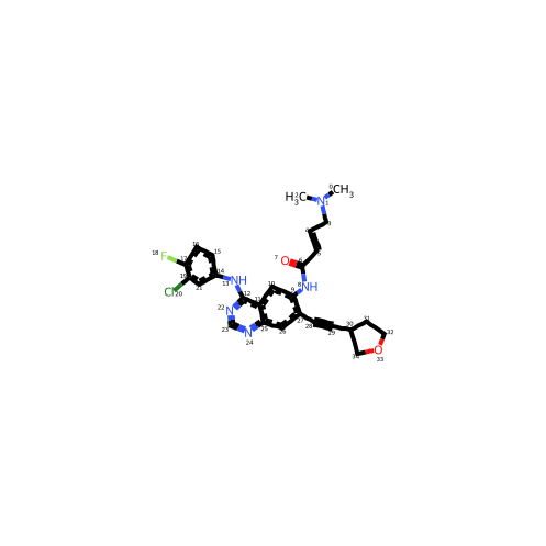 CN(C)CC=CC(=O)Nc1cc2c(Nc3ccc(F)c(Cl)c3)ncnc2cc1C#CC1CCOC1